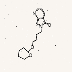 O=c1c2cccnc2sn1CCCCOC1CCCCO1